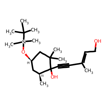 CC(C#CC1(O)[C@@H](C)C[C@@H](O[Si](C)(C)C(C)(C)C)CC1(C)C)=CCO